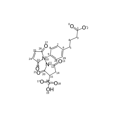 O=C([O-])CCCc1ccc([N+]2(N3C(=O)CC(S(=O)(=O)O)C3=O)C(=O)C=CC2=O)cc1